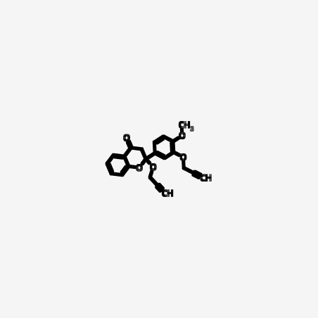 C#CCOc1cc(C2(OCC#C)CC(=O)c3ccccc3O2)ccc1OC